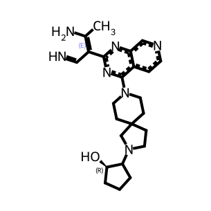 C/C(N)=C(/C=N)c1nc(N2CCC3(CC2)CCN(C2CCC[C@H]2O)C3)c2ccncc2n1